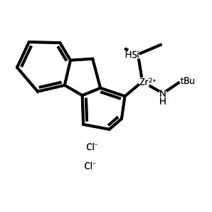 C[SiH](C)[Zr+2]([NH]C(C)(C)C)[c]1cccc2c1Cc1ccccc1-2.[Cl-].[Cl-]